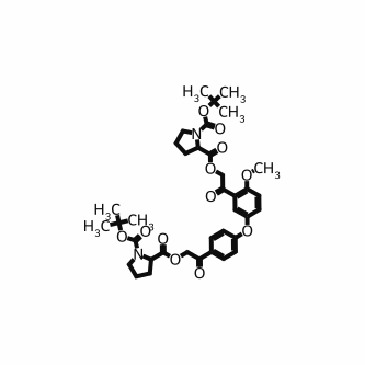 COc1ccc(Oc2ccc(C(=O)COC(=O)C3CCCN3C(=O)OC(C)(C)C)cc2)cc1C(=O)COC(=O)C1CCCN1C(=O)OC(C)(C)C